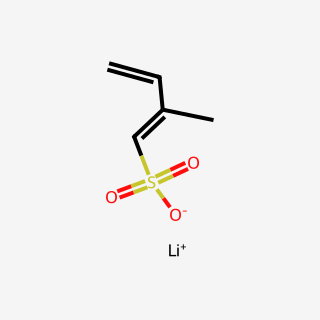 C=CC(C)=CS(=O)(=O)[O-].[Li+]